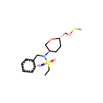 CCS(=N)(=O)N(Cc1ccccc1)[C@@H]1CC[C@@H](COSI)OC1